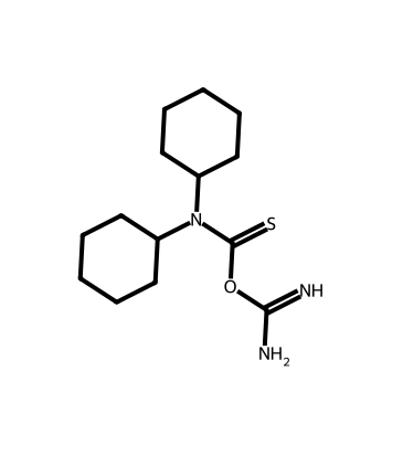 N=C(N)OC(=S)N(C1CCCCC1)C1CCCCC1